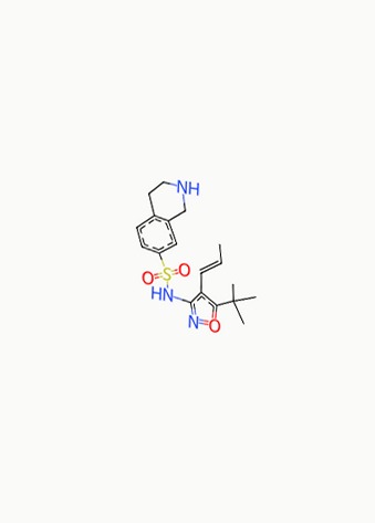 C/C=C/c1c(NS(=O)(=O)c2ccc3c(c2)CNCC3)noc1C(C)(C)C